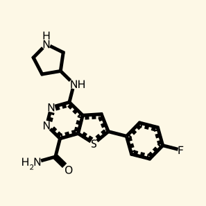 NC(=O)c1nnc(NC2CCNC2)c2cc(-c3ccc(F)cc3)sc12